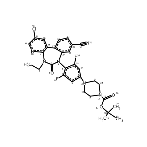 CCN1C(=O)N(c2c(F)cc(N3CCN(C(=O)OC(C)(C)C)CC3)cc2F)c2cc(C#N)ccc2-c2cc(Cl)cnc21